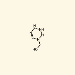 OCn1pn[pH][nH][pH]1